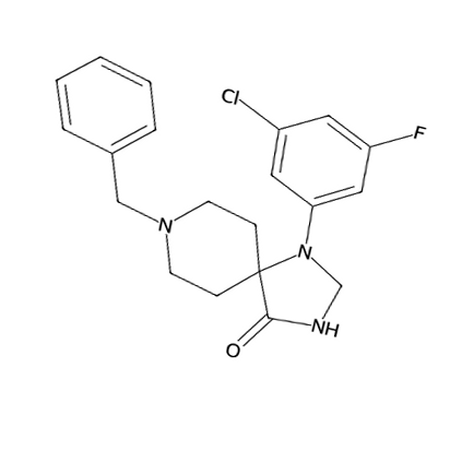 O=C1NCN(c2cc(F)cc(Cl)c2)C12CCN(Cc1ccccc1)CC2